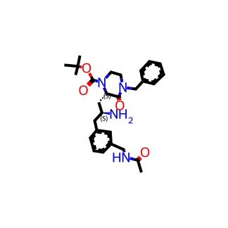 CC(=O)NCc1cccc(C[C@H](N)C[C@H]2C(=O)N(Cc3ccccc3)CCN2C(=O)OC(C)(C)C)c1